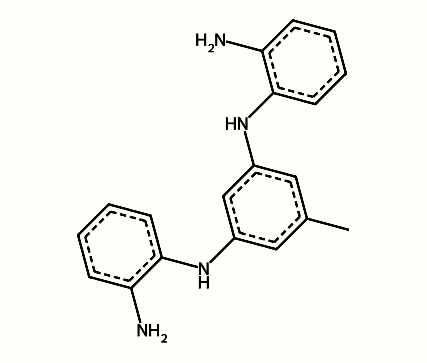 Cc1cc(Nc2ccccc2N)cc(Nc2ccccc2N)c1